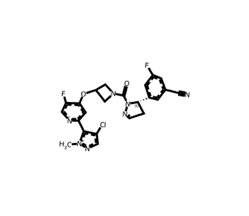 Cn1ncc(Cl)c1-c1cc(OC2CN(C(=O)N3N=CC[C@H]3c3cc(F)cc(C#N)c3)C2)c(F)cn1